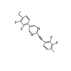 CCc1ccc(-c2cnc(C#Cc3ccc(C)c(F)c3F)nc2)c(F)c1F